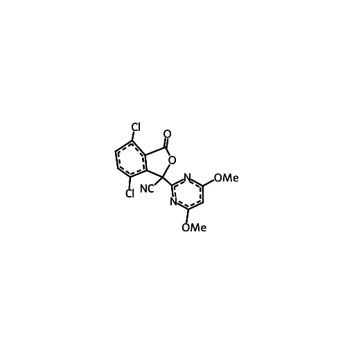 COc1cc(OC)nc(C2(C#N)OC(=O)c3c(Cl)ccc(Cl)c32)n1